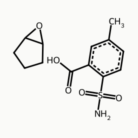 C1CC2OC2C1.Cc1ccc(S(N)(=O)=O)c(C(=O)O)c1